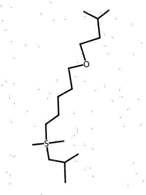 CC(C)CCOCCCCCS(C)(C)CC(C)C